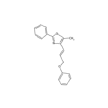 Cc1oc(-c2ccccc2)nc1C=CCOc1ccccc1